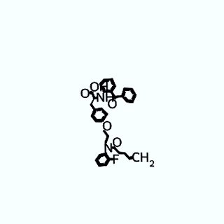 C=CCCC(=O)N(CCCOc1ccc(C[C@H](Nc2ccccc2C(=O)c2ccccc2)C(=O)O)cc1)c1ccccc1F